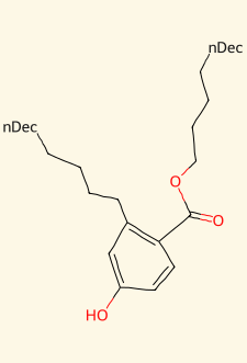 CCCCCCCCCCCCCCOC(=O)c1ccc(O)cc1CCCCCCCCCCCCCC